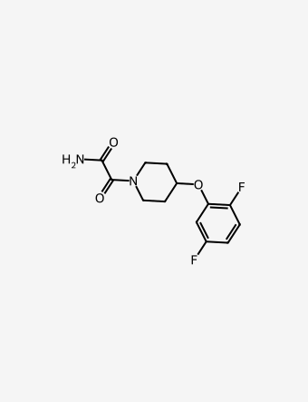 NC(=O)C(=O)N1CCC(Oc2cc(F)ccc2F)CC1